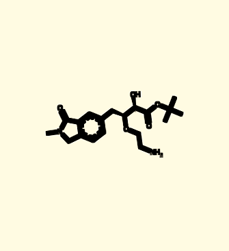 CN1Cc2ccc(C[C@H](OCCN)[C@@H](O)C(=O)OC(C)(C)C)cc2C1=O